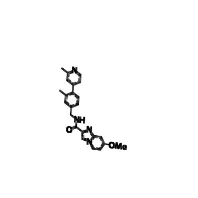 COc1ccn2cc(C(=O)NCc3ccc(-c4ccnc(C)c4)c(C)c3)nc2c1